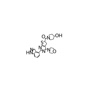 O=C(C1Cc2c(nc(-c3cccc4[nH]ncc34)nc2N2CCOCC2)S1)N1CCC(O)CC1